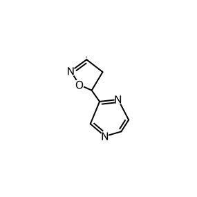 [C]1=NOC(c2cnccn2)C1